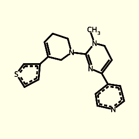 CN1CC=C(c2ccncc2)N=C1N1CCC=C(c2ccsc2)C1